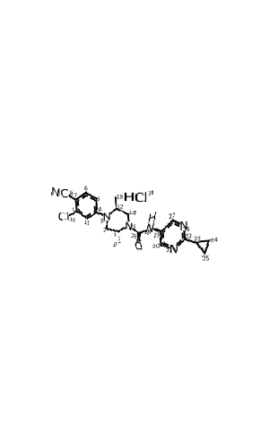 C[C@@H]1CN(c2ccc(C#N)c(Cl)c2)[C@@H](C)CN1C(=O)Nc1cnc(C2CC2)nc1.Cl